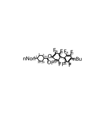 CCCCCCCCCC1CCC(C(=O)Oc2c(F)c(F)c(-c3c(F)c(F)c(CCCC)c(F)c3F)c(F)c2F)CC1